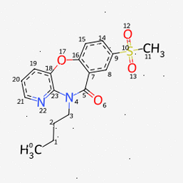 CCCCN1C(=O)c2cc(S(C)(=O)=O)ccc2Oc2cccnc21